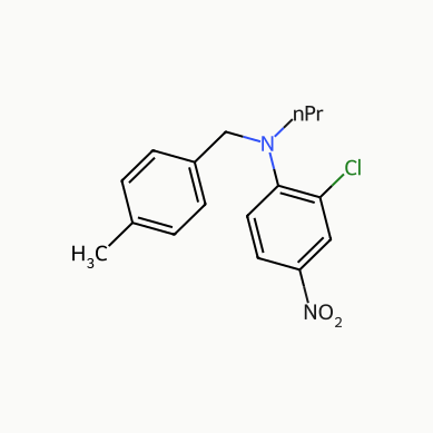 CCCN(Cc1ccc(C)cc1)c1ccc([N+](=O)[O-])cc1Cl